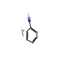 N#Cc1ccccc1.[Br][Pd]